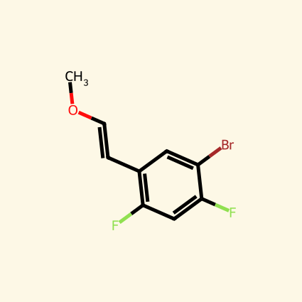 COC=Cc1cc(Br)c(F)cc1F